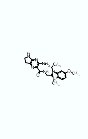 CCn1c(CNC(=O)c2nc3c(nc2N)NCC3)[n+](C)c2ccc(OC)cc21